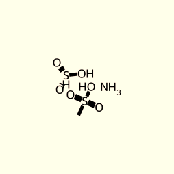 CS(=O)(=O)O.N.O=[SH](=O)O